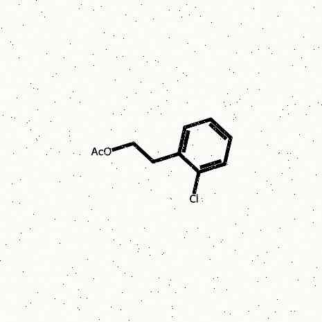 CC(=O)OCCc1ccccc1Cl